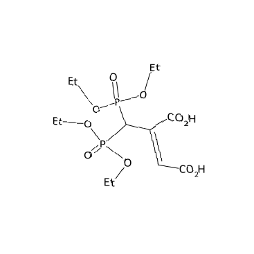 CCOP(=O)(OCC)C(C(=CC(=O)O)C(=O)O)P(=O)(OCC)OCC